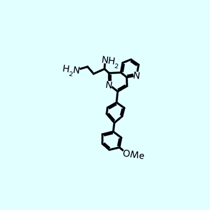 COc1cccc(-c2ccc(-c3cc4ncccc4c(C(N)CCN)n3)cc2)c1